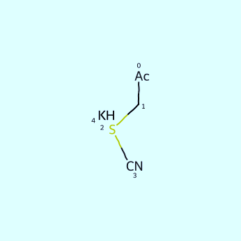 CC(=O)CSC#N.[KH]